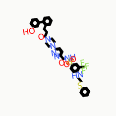 O=C(NS(=O)(=O)c1ccc(NCCSc2ccccc2)c(C(F)(F)F)c1)c1ccc(N2CCN(C(=O)CCc3ccccc3-c3cccc(O)c3)CC2)nn1